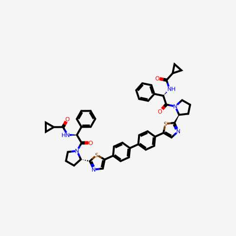 O=C(N[C@H](C(=O)N1CCC[C@H]1c1ncc(-c2ccc(-c3ccc(-c4cnc([C@@H]5CCCN5C(=O)[C@@H](NC(=O)C5CC5)c5ccccc5)s4)cc3)cc2)s1)c1ccccc1)C1CC1